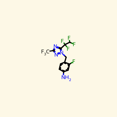 Nc1ccc(Cn2nc(C(F)(F)F)nc2C(F)(F)C(F)F)c(F)c1